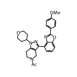 COc1ccc(-c2nc3c(-c4nn(C5CCOCC5)c5c4CN(C(C)=O)CC5)cccc3o2)cc1